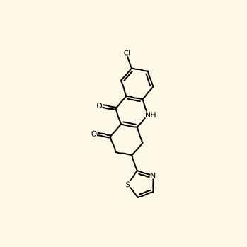 O=C1CC(c2nccs2)Cc2[nH]c3ccc(Cl)cc3c(=O)c21